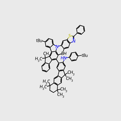 CC(C)(C)c1ccc(Nc2cc3c(cc2-c2c4c(c5c6cc(C(C)(C)C)ccc6n6c5c2Bc2cc5nc(-c7ccccc7)sc5cc2-6)C(C)(C)c2ccccc2-4)-c2cc4c(cc2C3(C)C)C(C)(C)CCC4(C)C)cc1